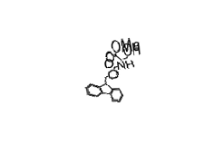 COC(=O)C(CO)NC(=O)OCC1c2ccccc2-c2ccccc21